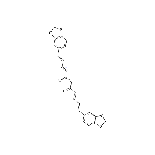 O=C(C=CC=Cc1ccc2c(c1)OCO2)CC(=O)/C=C/C=Cc1ccc2c(c1)OCO2